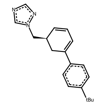 CC(C)(C)c1ccc(C2=CC=C[C@H](Cn3cncn3)C2)cc1